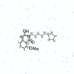 COc1cccc2nc(O)n(CCCCCC3CCCC3)c(=O)c12